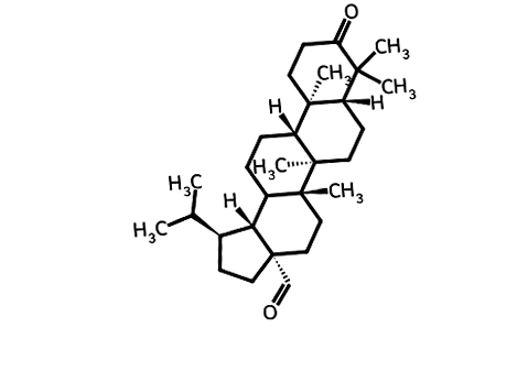 CC(C)[C@@H]1CC[C@]2(C=O)CC[C@]3(C)C(CC[C@@H]4[C@@]5(C)CCC(=O)C(C)(C)[C@@H]5CC[C@]43C)[C@@H]12